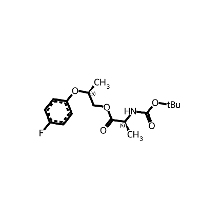 C[C@H](NC(=O)OC(C)(C)C)C(=O)OC[C@H](C)Oc1ccc(F)cc1